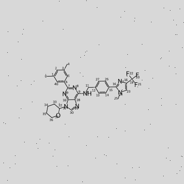 Cc1cc(C)cc(-c2nc(NCc3ccc(-c4nc(C(F)(F)F)cn4C)cc3)c3ncn(C4CCCCO4)c3n2)c1